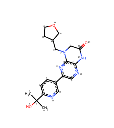 CC(C)(O)c1ccc(-c2cnc3c(n2)N(CC2CCOC2)CC(=O)N3)cn1